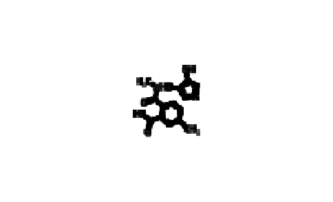 COC(=O)c1ccc(C)cc1C(=O)O.Oc1cscc1O